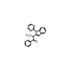 CC(C(=O)c1ccccc1)c1cc2ccccc2n1-c1ncccn1